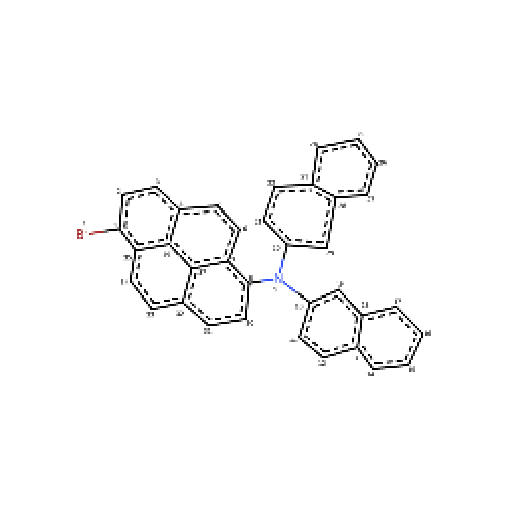 Brc1ccc2ccc3c(N(c4ccc5ccccc5c4)c4ccc5ccccc5c4)ccc4ccc1c2c43